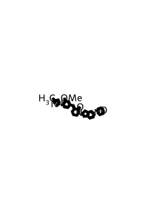 COc1cc(/C=C2\CCCN([C@@H]3Cc4ccc(N5CCOCC5)cc4C3)C2=O)ccc1-n1cnc(C)c1